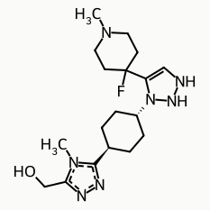 CN1CCC(F)(C2=CNNN2[C@H]2CC[C@H](c3nnc(CO)n3C)CC2)CC1